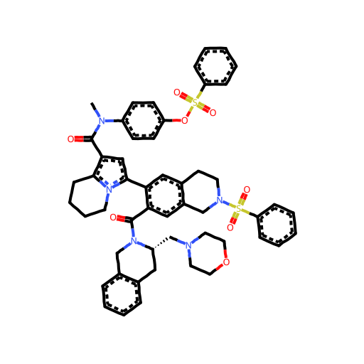 CN(C(=O)c1cc(-c2cc3c(cc2C(=O)N2Cc4ccccc4C[C@H]2CN2CCOCC2)CN(S(=O)(=O)c2ccccc2)CC3)n2c1CCCC2)c1ccc(OS(=O)(=O)c2ccccc2)cc1